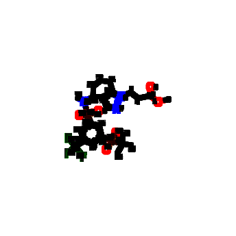 COC(=O)CCn1ncc2c1CCCC2N(C)S(=O)(=O)c1cc(C(F)(F)F)cc(S(=O)(=O)C(C)(C)C)c1